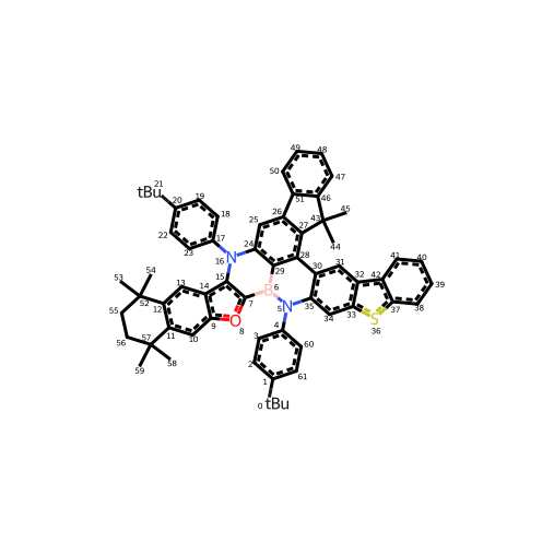 CC(C)(C)c1ccc(N2B3c4oc5cc6c(cc5c4N(c4ccc(C(C)(C)C)cc4)c4cc5c(c(c43)-c3cc4c(cc32)sc2ccccc24)C(C)(C)c2ccccc2-5)C(C)(C)CCC6(C)C)cc1